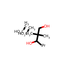 CC(=O)O.CC(=O)O.CC(C)C(O)C(C)(C)CO